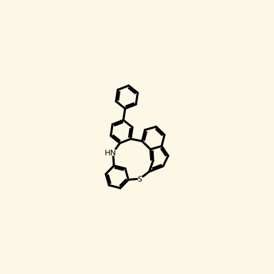 c1ccc(-c2ccc3[nH]c4cccc(c4)sc4ccc5cccc(c5c4)c3c2)cc1